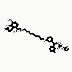 Cc1cccc(C(NC(=O)O[C@H]2CN3CCC2CC3)c2cccc(OCCCCCCCCCNC[C@@H](O)c3ccc(O)c4[nH]c(=O)ccc34)c2)c1